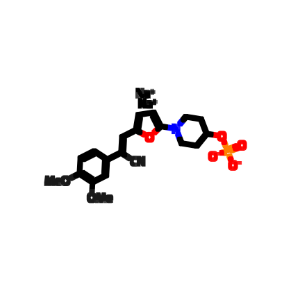 COc1ccc(C(C#N)=Cc2ccc(N3CCC(OP(=O)([O-])[O-])CC3)o2)cc1OC.[Na+].[Na+]